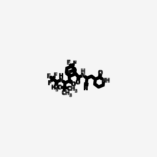 CC(C)(C)C(NC(=O)C(F)(F)F)C(=O)N1C2CCC(C1C(=O)NC(C#N)CC1CCCNC1=O)C(F)(F)C2